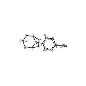 CC[C@H](C)c1cnc(N2C3CCC2CNC3)nc1